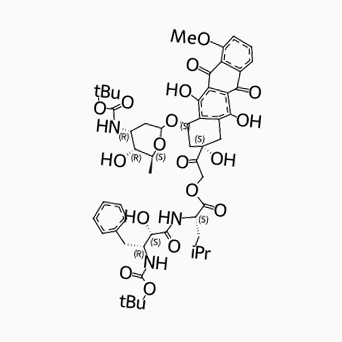 COc1cccc2c1C(=O)c1c(O)c3c(c(O)c1C2=O)C[C@@](O)(C(=O)COC(=O)[C@H](CC(C)C)NC(=O)[C@@H](O)[C@@H](Cc1ccccc1)NC(=O)OC(C)(C)C)C[C@@H]3OC1C[C@@H](NC(=O)OC(C)(C)C)[C@@H](O)[C@H](C)O1